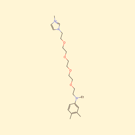 CCN(CCOCCOCCOCCOCCn1cc[n+](C)c1)c1ccc(C)c(C)c1